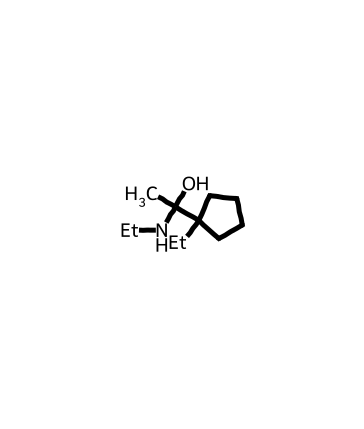 CCNC(C)(O)C1(CC)CCCC1